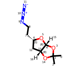 CC1(C)O[C@H]2O[C@@H](CCN=[N+]=[N-])C[C@H]2O1